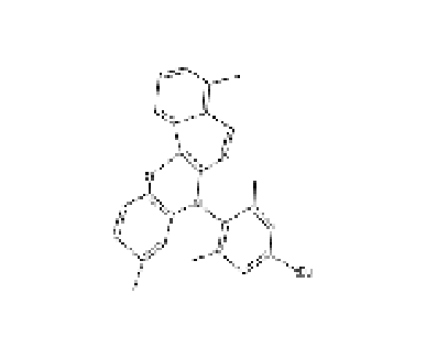 Cc1ccc2c(c1)N(c1c(C)cc(C(C)(C)C)cc1C)c1ncc3c(C)cccc3c1O2